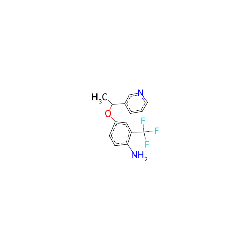 CC(Oc1ccc(N)c(C(F)(F)F)c1)c1cccnc1